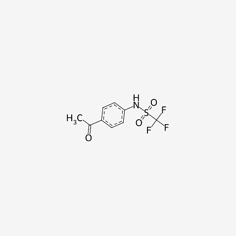 CC(=O)c1ccc(NS(=O)(=O)C(F)(F)F)cc1